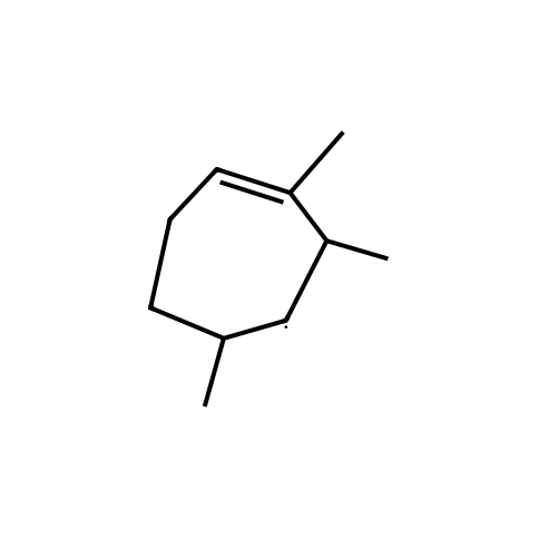 CC1=CCCC(C)[CH]C1C